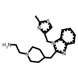 Cc1nc(Cn2c(CC3CCN(CCN)CC3)nc3ccccc32)cs1